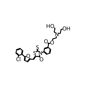 O=C(OCCN(CCO)CCO)c1cccc(N2C(=O)C(=Cc3ccc(-c4ccccc4Cl)o3)SC2=S)c1